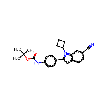 CC(C)(C)OC(=O)Nc1ccc(-c2cc3ccc(C#N)cc3n2C2CCC2)cc1